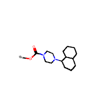 CC(C)(C)OC(=O)N1CCN(C2CCCC3CCCCC32)CC1